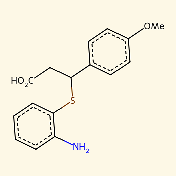 COc1ccc(C(CC(=O)O)Sc2ccccc2N)cc1